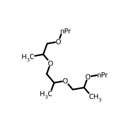 CCCOCC(C)OCC(C)OCC(C)OCCC